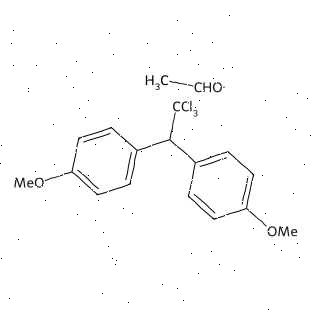 COc1ccc(C(c2ccc(OC)cc2)C(Cl)(Cl)Cl)cc1.C[C]=O